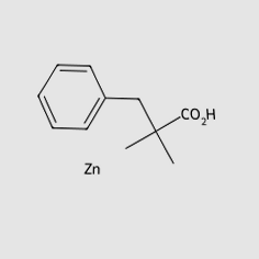 CC(C)(Cc1ccccc1)C(=O)O.[Zn]